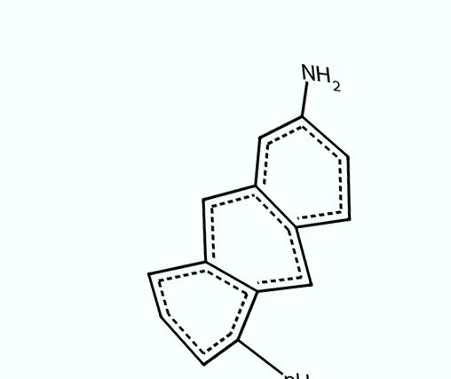 CCCCCCc1cccc2cc3cc(N)ccc3cc12